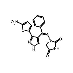 O=C1CN(N=C(c2ccccc2)c2c[nH]nc2-c2ccc([N+](=O)[O-])o2)C(=O)N1